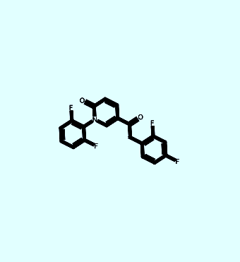 O=C([C]c1ccc(F)cc1F)c1ccc(=O)n(-c2c(F)cccc2F)c1